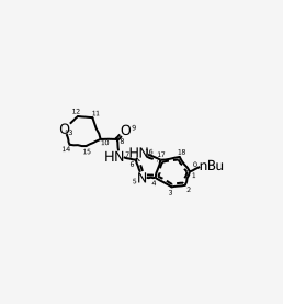 CCCCc1ccc2nc(NC(=O)C3CCOCC3)[nH]c2c1